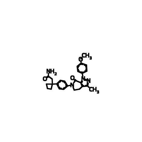 COc1ccc(-n2nc(C)c3c2C(=O)N(c2ccc(C4(CC(N)=O)CCC4)cc2)CC3)cc1